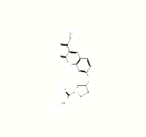 CC(C)(C)OC(=O)N1CCC(Oc2ccc3cc(C(=O)CBr)c(=O)oc3c2)C1